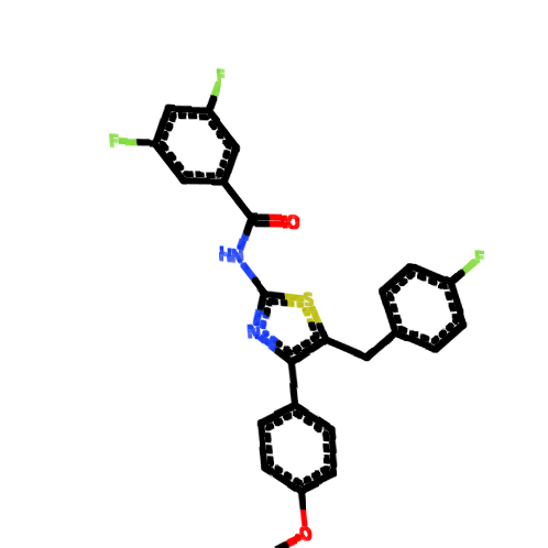 COc1ccc(-c2nc(NC(=O)c3cc(F)cc(F)c3)sc2Cc2ccc(F)cc2)cc1